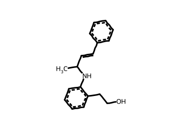 CC(C=Cc1ccccc1)Nc1ccccc1CCO